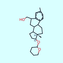 Cc1ccc2c(c1)C(CO)CC1C2CC[C@@]2(C)C1CC[C@@H]2OC1CCCCO1